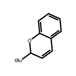 CC(C)(C)C1C=Cc2ccccc2O1